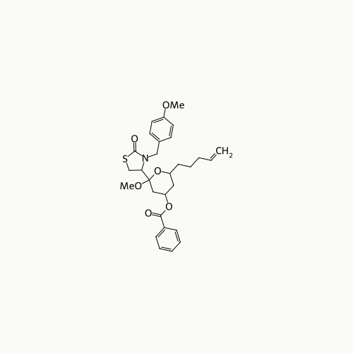 C=CCCCC1CC(OC(=O)c2ccccc2)CC(OC)(C2CSC(=O)N2Cc2ccc(OC)cc2)O1